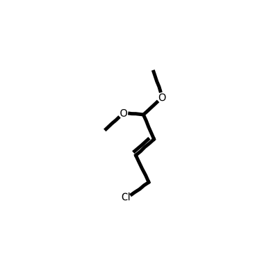 COC(C=CCCl)OC